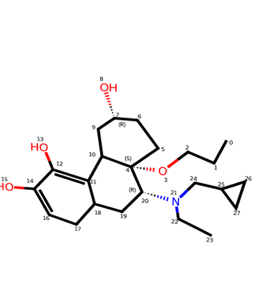 CCCO[C@@]12CC[C@@H](O)CC1C1=C(O)C(O)=CCC1C[C@H]2N(CC)CC1CC1